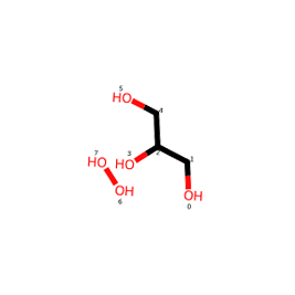 OCC(O)CO.OO